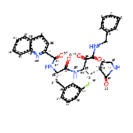 O=C(NCc1ccccc1)C(=O)[C@H](C[C@@H]1CCNC1=O)NC(=O)[C@H](Cc1cccc(F)c1)NC(=O)c1ccc2ccccc2n1